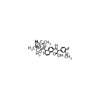 COc1cc(C(Nc2ccc3c(N(OC(C)(C)C)C(=O)OC(C)(C)C)nccc3c2)C(=O)O)ccc1F